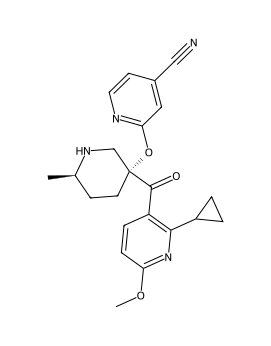 COc1ccc(C(=O)[C@@]2(Oc3cc(C#N)ccn3)CC[C@@H](C)NC2)c(C2CC2)n1